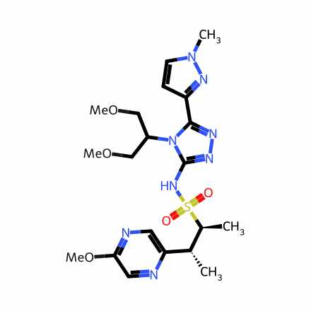 COCC(COC)n1c(NS(=O)(=O)[C@@H](C)[C@H](C)c2cnc(OC)cn2)nnc1-c1ccn(C)n1